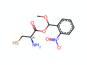 COC(OC(=O)[C@@H](N)CS)c1ccccc1[N+](=O)[O-]